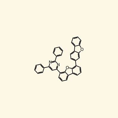 c1ccc(-c2cc(-c3cccc4c3oc3c(-c5ccc6c(c5)oc5ccccc56)cccc34)nc(-c3ccccc3)n2)cc1